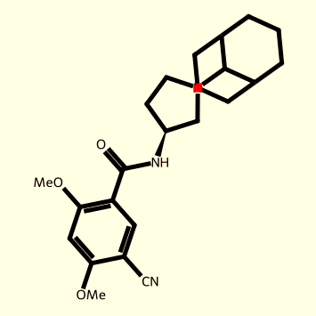 COc1cc(OC)c(C(=O)N[C@H]2CCN(C3C4CCCC3CCC4)C2)cc1C#N